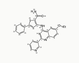 CCOc1ccc2nc(-c3cccnc3)nc(Nc3cc(-c4ccccc4)sc3C(N)=O)c2c1